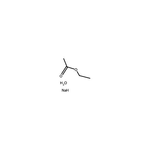 CCOC(C)=O.O.[NaH]